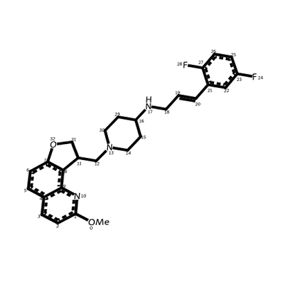 COc1ccc2ccc3c(c2n1)C(CN1CCC(NC/C=C/c2cc(F)ccc2F)CC1)CO3